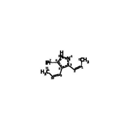 C/C=C\c1n[nH]c(C(C)C)c1/C=C\C